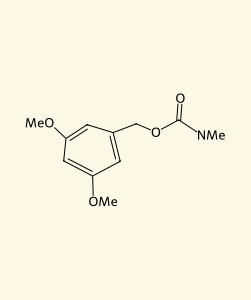 CNC(=O)OCc1cc(OC)cc(OC)c1